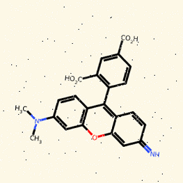 CN(C)c1ccc2c(-c3ccc(C(=O)O)cc3C(=O)O)c3ccc(=N)cc-3oc2c1